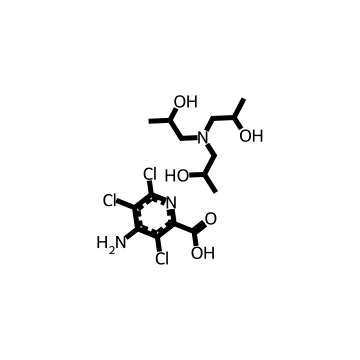 CC(O)CN(CC(C)O)CC(C)O.Nc1c(Cl)c(Cl)nc(C(=O)O)c1Cl